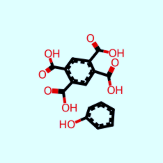 O=C(O)c1cc(C(=O)O)c(C(=O)O)cc1C(=O)O.Oc1ccccc1